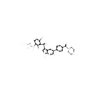 CCCS(=O)(=O)Nc1ccc(F)c(C(=O)c2c[nH]c3ncc(-c4ccc(C(=O)N5CCOCC5)cc4)cc23)c1F